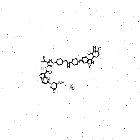 Cl.Cl.Cn1nc(C2CCC(=O)NC2=O)c2ccc(N3CCC(NCC4CCC(n5cc(NC(=O)c6cnn7ccc(N8C[C@H](N)C[C@@H](F)C8)nc67)c(C(F)F)n5)CC4)CC3)cc21